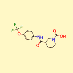 O=C(Nc1ccc(OC(F)(F)F)cc1)[C@@H]1CCCN(C(=O)O)C1